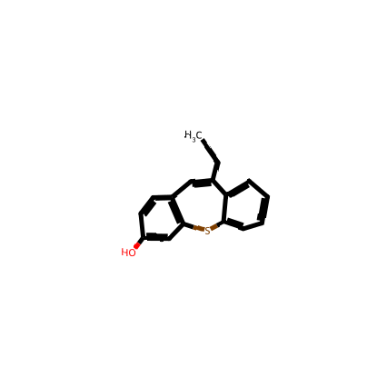 CCC1=Cc2ccc(O)cc2Sc2ccccc21